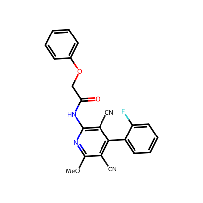 COc1nc(NC(=O)COc2ccccc2)c(C#N)c(-c2ccccc2F)c1C#N